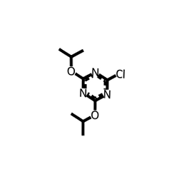 CC(C)Oc1nc(Cl)nc(OC(C)C)n1